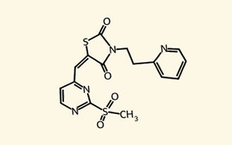 CS(=O)(=O)c1nccc(/C=C2/SC(=O)N(CCc3ccccn3)C2=O)n1